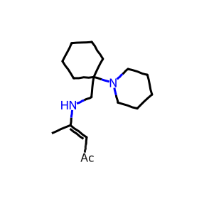 CC(=O)C=C(C)NCC1(N2CCCCC2)CCCCC1